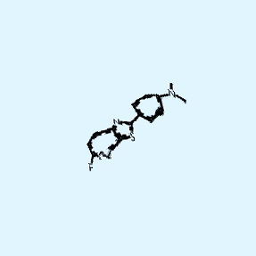 CN(C)c1ccc(-c2nc3ccc(F)nc3s2)cc1